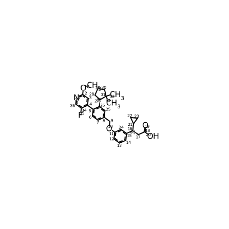 COc1cc(-c2ccc(COc3cccc([C@H](CC(=O)O)C4CC4)c3)cc2[C@H]2CCCC2(C)C)c(F)cn1